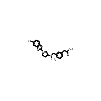 CN(Cc1cccc(CC(=O)O)c1)C1CCN(c2nc3ccc(Cl)cc3s2)C1